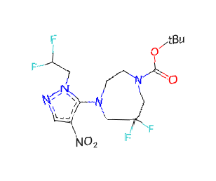 CC(C)(C)OC(=O)N1CCN(c2c([N+](=O)[O-])cnn2CC(F)F)CC(F)(F)C1